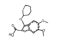 COc1cc2sc(C(=O)O)c(OC3CCCCC3)c2cc1OC